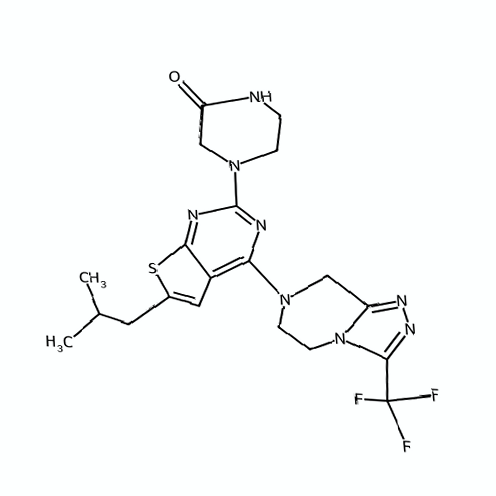 CC(C)Cc1cc2c(N3CCn4c(nnc4C(F)(F)F)C3)nc(N3CCNC(=O)C3)nc2s1